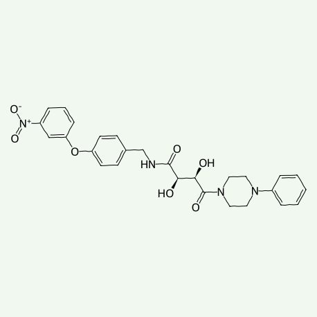 O=C(NCc1ccc(Oc2cccc([N+](=O)[O-])c2)cc1)[C@H](O)[C@@H](O)C(=O)N1CCN(c2ccccc2)CC1